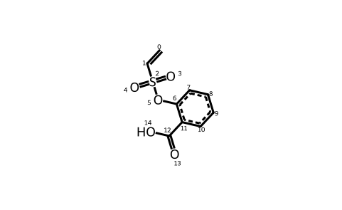 C=CS(=O)(=O)Oc1ccccc1C(=O)O